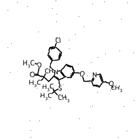 COC(=O)C(C)(C)Cc1c(SC(C)(C)C)c2cc(OCc3ccc(OC)cn3)ccc2n1Cc1ccc(Cl)cc1